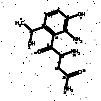 CC(O)c1ccc(O)c(N)c1C(=O)C(N)CC(N)=O